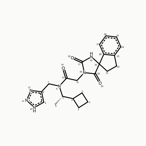 C[C@@H](C1CCC1)N(Cc1c[nH]nn1)C(=O)CN1C(=O)NC2(CCc3ccccc32)C1=O